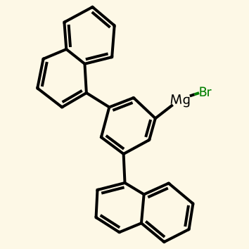 [Br][Mg][c]1cc(-c2cccc3ccccc23)cc(-c2cccc3ccccc23)c1